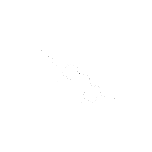 CCN(C)C=Nc1cc(C)c(Cc2cc(F)cc(OC)c2)cc1Cl